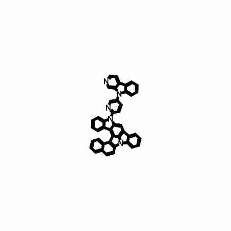 c1ccc2c(c1)ccc1c2c2c3c4ccccc4n(-c4ccc(-n5c6ccccc6c6ccncc65)cn4)c3cc3c4ccccc4n1c32